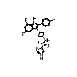 O=S(=O)(N[C@H]1C[C@H](c2c(-c3ccc(F)cc3)[nH]c3c(F)cc(F)cc32)C1)c1c[nH]cn1